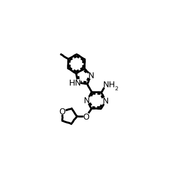 Cc1ccc2nc(-c3nc(OC4CCOC4)cnc3N)[nH]c2c1